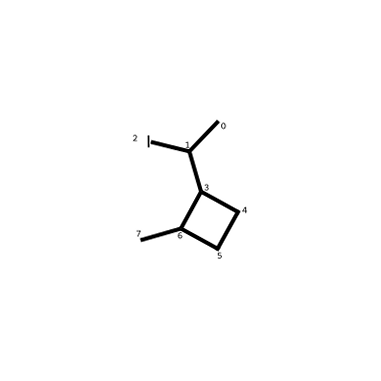 CC(I)C1CCC1C